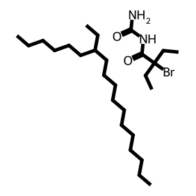 CCC(Br)(CC)C(=O)NC(N)=O.CCCCCCCCCCCC(CC)CCCCCC